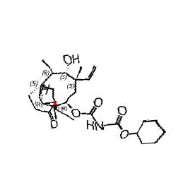 C=C[C@]1(C)C[C@@H](OC(=O)NC(=O)OC2CCCCC2)[C@]2(C)C(C)CC34C[C@@](CCC3=O)([C@@H]42)[C@@H](C)[C@@H]1O